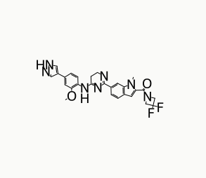 COc1cc(-c2cn[nH]c2)ccc1NC1=NC(c2ccc3cc(C(=O)N4CC(F)(F)C4)n(C)c3c2)=NCC1